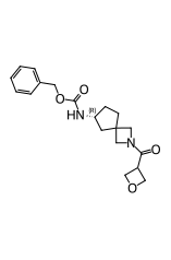 O=C(N[C@@H]1CCC2(C1)CN(C(=O)C1COC1)C2)OCc1ccccc1